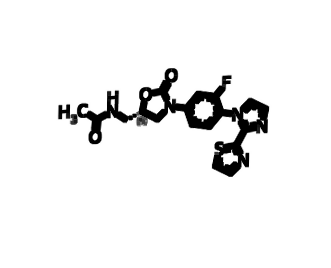 CC(=O)NC[C@H]1CN(c2ccc(-n3ccnc3-c3nccs3)c(F)c2)C(=O)O1